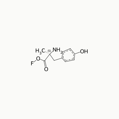 C[C@](N)(Cc1ccc(O)cc1)C(=O)OF